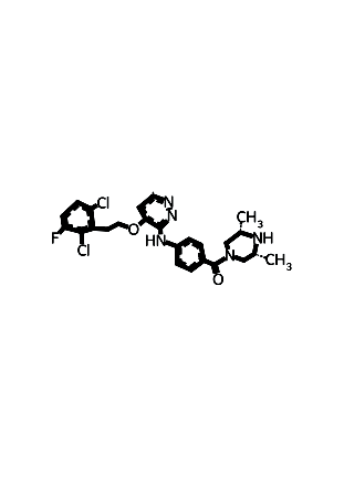 C[C@@H]1CN(C(=O)c2ccc(Nc3nn[c]cc3OCCc3c(Cl)ccc(F)c3Cl)cc2)C[C@H](C)N1